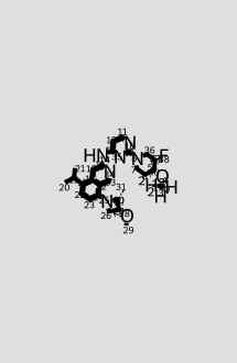 [2H]C([2H])([2H])O[C@@H]1CCN(c2nccc(Nc3cc4c(C(C)C)ccc(N5C[C@H](OC)[C@H]5C)c4cn3)n2)C[C@@H]1F